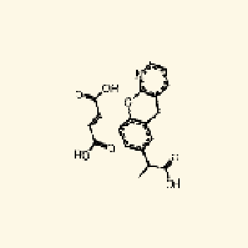 CC(C(=O)O)c1ccc2c(c1)Cc1cccnc1O2.O=C(O)/C=C/C(=O)O